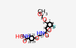 COCCOCc1ccc(F)c2oc(C(=O)NCCOc3ccc(C(=O)NO)cc3)cc12